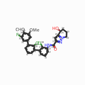 COc1cc(-c2cccc(-c3cccc(NC(=O)c4cc5n(n4)CCCC5O)c3Cl)c2Cl)cc(F)c1C=O